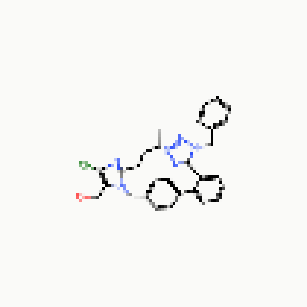 CCCCc1nc(Cl)c(C=O)n1Cc1ccc(-c2ccccc2-c2nnnn2Cc2ccccc2)cc1